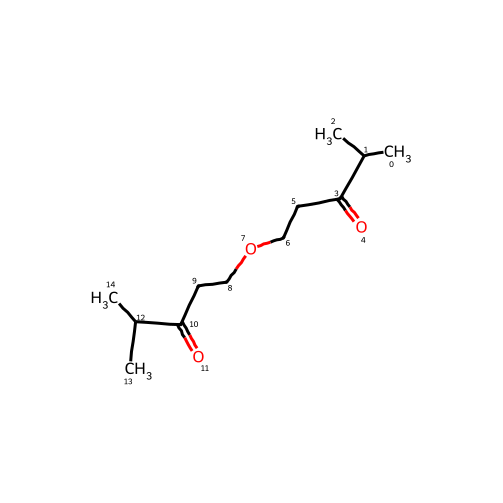 CC(C)C(=O)CCOCCC(=O)C(C)C